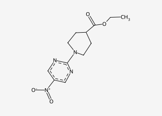 CCOC(=O)C1CCN(c2ncc([N+](=O)[O-])cn2)CC1